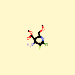 COCc1nc(Cl)c(F)c(N)c1C(=O)OC